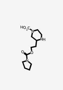 O=C(O)N1CCNC(CCOC(=O)N2CCCC2)C1